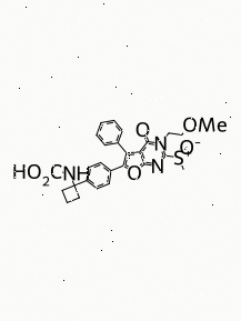 COCCn1c([S+](C)[O-])nc2oc(-c3ccc(C4(NC(=O)O)CCC4)cc3)c(-c3ccccc3)c2c1=O